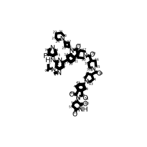 CC(C)n1cnc2cc(-c3ccc4c(c3)N(C3CC(N5CCCCC5)C3)C(=O)C43CCN(C(=O)C4CCN(C(=O)C5CCN(c6ccc7c(c6)C(=O)N([C@@H]6CCC(=O)NC6=O)C7=O)CC5)CC4)CC3)nc(Nc3ccncc3F)c21